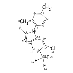 [CH2]c1ccc(-n2c(CC)nc3cc(C(F)(F)F)c(Cl)cc32)cc1